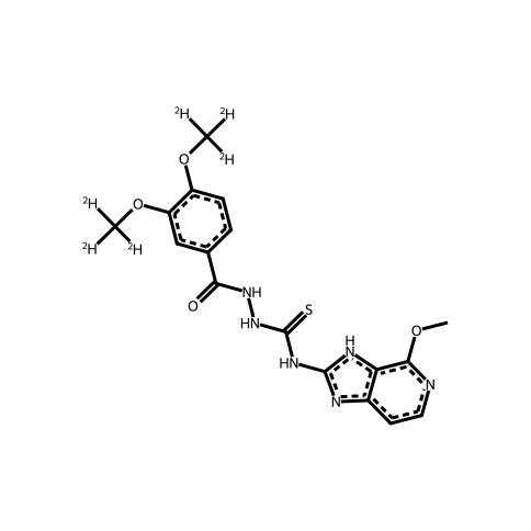 [2H]C([2H])([2H])Oc1ccc(C(=O)NNC(=S)Nc2nc3ccnc(OC)c3[nH]2)cc1OC([2H])([2H])[2H]